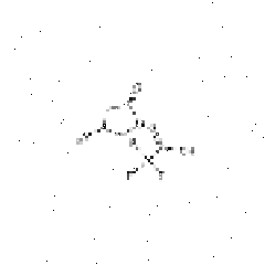 NC1CO[S@@](=O)C1.O=C(O)C(F)(F)F